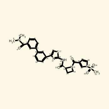 CN(C)C(=O)c1cccc(-c2cccc(-c3csc(NC(=O)[C@@H]4CCN4C(=O)c4ccn(S(C)(=O)=O)c4)n3)c2)c1